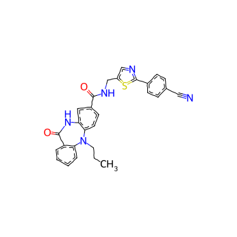 CCCN1c2ccc(C(=O)NCc3cnc(-c4ccc(C#N)cc4)s3)cc2NC(=O)c2ccccc21